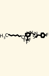 CCCCCCCCOc1ccc(Nc2nc(-c3ccc(F)cc3)cs2)cc1C(F)(F)F